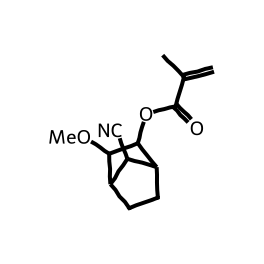 C=C(C)C(=O)OC1C2CCC(C2C#N)C1OC